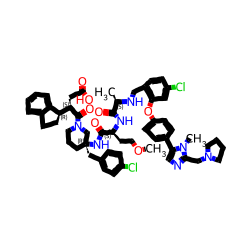 COCC[C@H](NC(=O)[C@H](C)NCc1ccc(Cl)cc1Oc1ccc(-c2cnc(CN3CCCC3)n2C)cc1)C(=O)N[C@@]1(Cc2ccc(Cl)cc2)CCCN(C(=O)[C@@H](CC(=O)O)[C@H]2CCc3ccccc32)C1